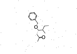 CCC(C)[C@H](CC(C)=O)OCc1ccccc1